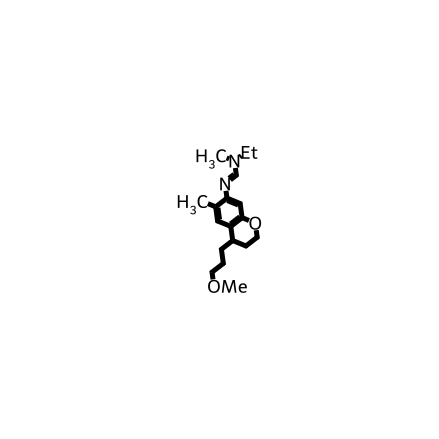 CCN(C)/C=N/c1cc2c(cc1C)C(CCCOC)CCO2